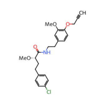 C#CCOc1ccc(CCNC(=O)[C@H](CCc2ccc(Cl)cc2)OC)cc1OC